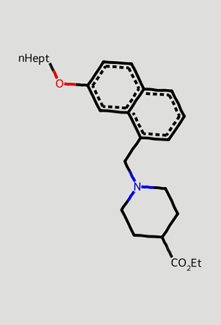 CCCCCCCOc1ccc2cccc(CN3CCC(C(=O)OCC)CC3)c2c1